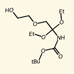 CCOC(COCCO)(NC(=O)OC(C)(C)C)OCC